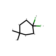 CC1(C)CCC(F)(F)CC1